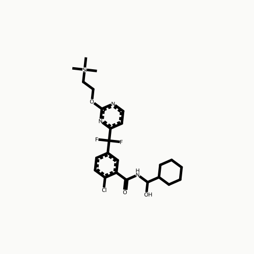 C[Si](C)(C)CCOc1nccc(C(F)(F)c2ccc(Cl)c(C(=O)NC(O)C3CCCCC3)c2)n1